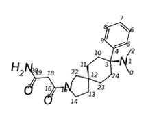 CN(C)[C@]1(c2ccccc2)CC[C@]2(CCN(C(=O)CC(N)=O)C2)CC1